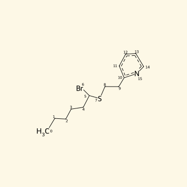 CCCCCC(Br)SCCc1ccccn1